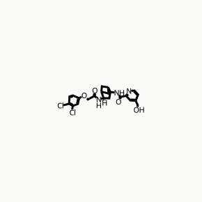 O=C(COc1ccc(Cl)c(Cl)c1)N[C@H]1CC(NC(=O)c2cc(CO)ccn2)C2CC1C2